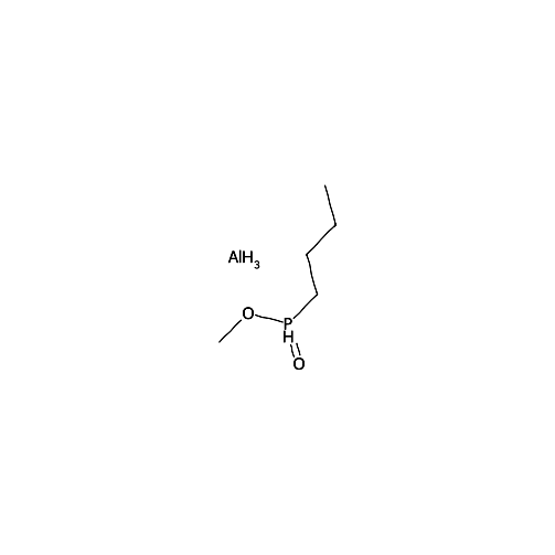 CCCC[PH](=O)OC.[AlH3]